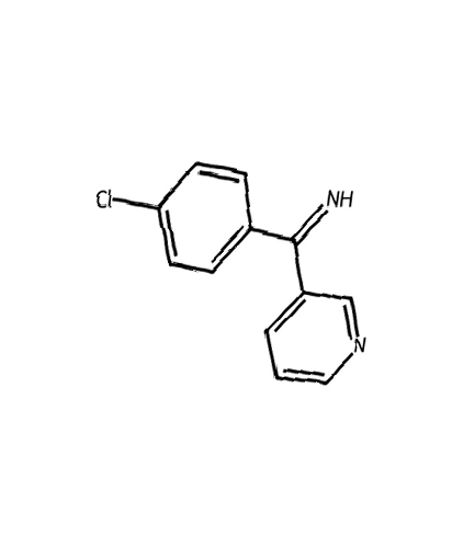 N=C(c1ccc(Cl)cc1)c1cccnc1